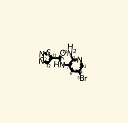 Nc1ncc(Br)cc1NC(=O)c1cnns1